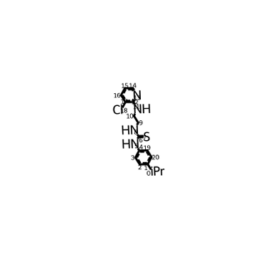 CC(C)c1ccc(NC(=S)NCCNc2ncccc2Cl)cc1